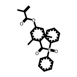 C=C(C)C(=O)Oc1cc(C)c(C(=O)P(=O)(c2ccccc2)c2ccccc2)c(C)c1